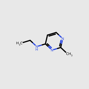 CCNc1ccnc(C)n1